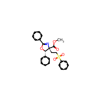 COC(=O)[C@@]1(CCS(=O)(=O)c2ccccc2)N=C(c2ccccc2)O[C@H]1c1ccccc1